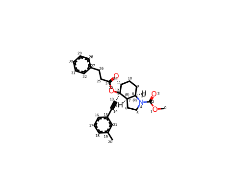 COC(=O)N1CC[C@@H]2[C@H]1CCC[C@]2(C#Cc1cccc(C)c1)OC(=O)CCc1ccccc1